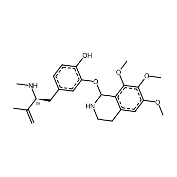 C=C(C)[C@H](Cc1ccc(O)c(OC2NCCc3cc(OC)c(OC)c(OC)c32)c1)NC